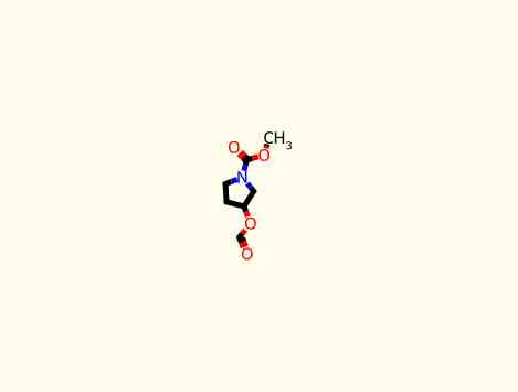 COC(=O)N1CCC(OC=O)C1